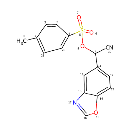 Cc1ccc(S(=O)(=O)OC(C#N)c2ccc3ocnc3c2)cc1